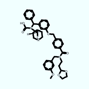 COc1cccc(CN(CCC2OCCO2)C(=O)c2ccc(COc3cccc(C(c4ccccc4)N(C(=O)O)[C@H]4CN5CCC4CC5)c3)cc2)c1